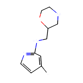 CCc1ccnc(NCC2CNCCO2)c1